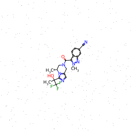 C[C@H]1CN(C(=O)c2c3ccc(C#N)cc3nn2C)Cc2cnc(C(C)(O)C(F)(F)F)n21